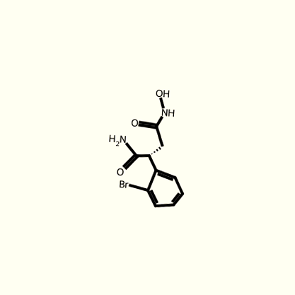 NC(=O)[C@H](CC(=O)NO)c1ccccc1Br